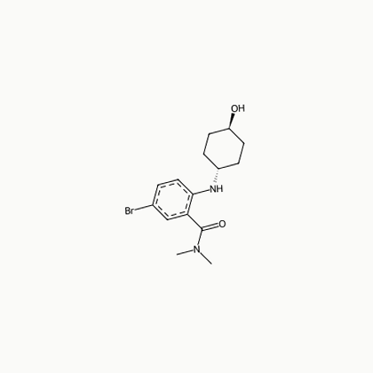 CN(C)C(=O)c1cc(Br)ccc1N[C@H]1CC[C@H](O)CC1